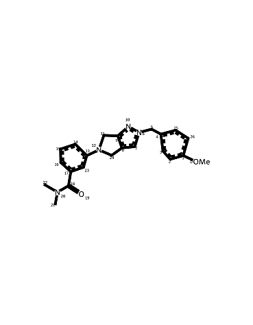 COc1ccc(Cn2cc3c(n2)CN(c2cccc(C(=O)N(C)C)c2)C3)cc1